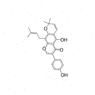 CC(C)=CCc1c2c(c(O)c3c(=O)c(-c4ccc(O)cc4)coc13)C=CC(C)(C)O2